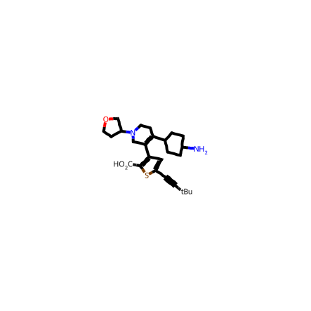 CC(C)(C)C#Cc1cc(C2=C(C3CCC(N)CC3)CCN(C3CCOC3)C2)c(C(=O)O)s1